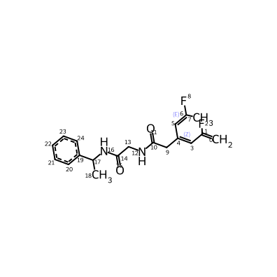 C=C(F)/C=C(\C=C(/C)F)CC(=O)NCC(=O)NC(C)c1ccccc1